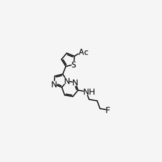 CC(=O)c1ccc(-c2cnc3ccc(NCCCF)nn23)s1